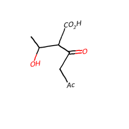 CC(=O)CC(=O)C(C(=O)O)C(C)O